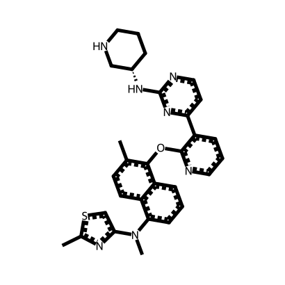 Cc1nc(N(C)c2cccc3c(Oc4ncccc4-c4ccnc(N[C@H]5CCCNC5)n4)c(C)ccc23)cs1